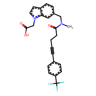 CN(Cc1ccc2ccn(CC(=O)O)c2c1)C(=O)CCC#Cc1ccc(C(F)(F)F)cc1